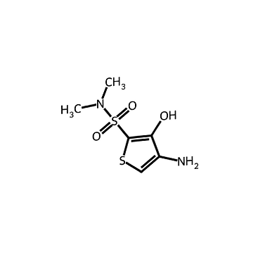 CN(C)S(=O)(=O)c1scc(N)c1O